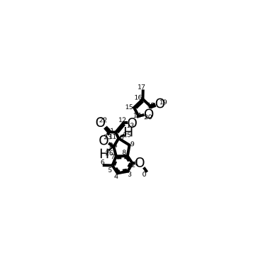 COc1ccc(C)c2c1C[C@H]1/C(=C\O[C@H]3C=C(C)C(=O)O3)C(=O)O[C@@H]21